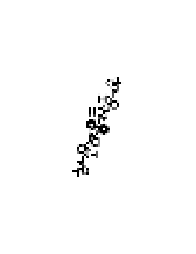 C=C(C)C(=O)OCCNC(=O)OCC(O)COc1ccccc1-c1ccccc1OCC(O)COC(=O)NCCOC(=O)C(=C)C